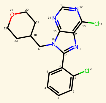 Clc1ccccc1-c1nc2c(Cl)ncnc2n1CC1CCOCC1